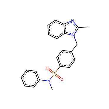 Cc1nc2ccccc2n1Cc1ccc(S(=O)(=O)N(C)c2ccccc2)cc1